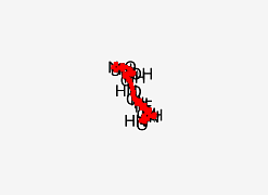 Cc1ncsc1-c1ccc(CNC(=O)[C@@H]2C[C@@H](O)CN2C(=O)[C@@H](NC(=O)CCCCCNC(=O)CCC(=O)N2CCN(c3ncc(-c4cc(NC(=O)c5c[nH]c(=O)cc5C(F)(F)F)c(N5C[C@@H](C)N(C)[C@@H](C)C5)cc4F)cn3)CC2)C(C)(C)C)cc1